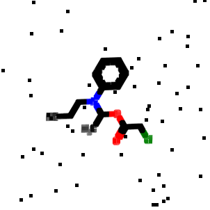 CC(OC(=O)CCl)N(CCC#N)c1ccccc1